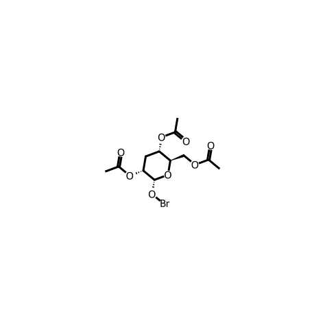 CC(=O)OC[C@H]1O[C@H](OBr)[C@H](OC(C)=O)C[C@@H]1OC(C)=O